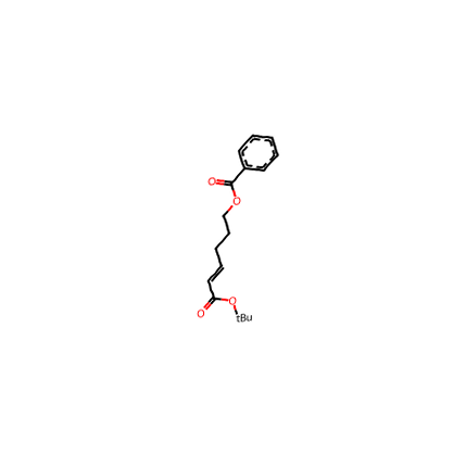 CC(C)(C)OC(=O)C=CCCCOC(=O)c1ccccc1